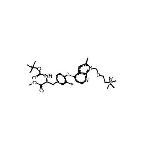 COC(=O)C(Cc1ccc(Oc2ccnc3c2cc(C)n3COCC[SH](C)(C)(C)C)c(F)c1)NC(=O)OC(C)(C)C